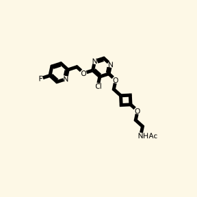 CC(=O)NCCOC1CC(COc2ncnc(OCc3ccc(F)cn3)c2Cl)C1